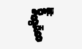 O=C(c1ccc2c(c1)CCN(CC(O)CN1CCc3ccccc3C1)C2=O)N1CCC2(CC1)CC(OC(F)(F)F)C2